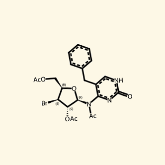 CC(=O)OC[C@H]1O[C@@H](N(C(C)=O)c2nc(=O)[nH]cc2Cc2ccccc2)[C@H](OC(C)=O)[C@H]1Br